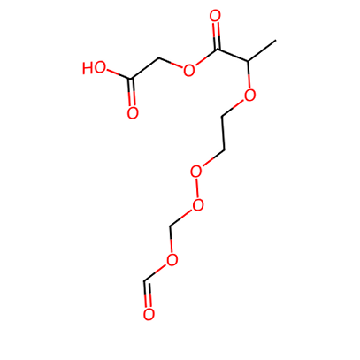 CC(OCCOOCOC=O)C(=O)OCC(=O)O